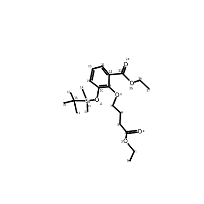 CCOC(=O)CCCOc1c(O[Si](C)(C)C(C)(C)C)cccc1C(=O)OCC